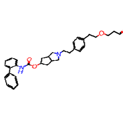 O=CCCOCCc1ccc(CCN2CC3CC(OC(=O)Nc4ccccc4-c4ccccc4)CC3C2)cc1